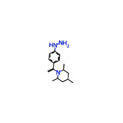 C=C(c1ccc(NN)cc1)N1C(C)CC(C)CC1C